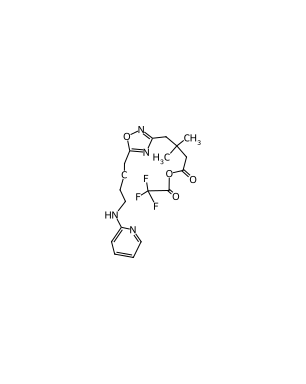 CC(C)(CC(=O)OC(=O)C(F)(F)F)Cc1noc(CCCCNc2ccccn2)n1